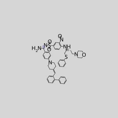 N/C(=N/S(=O)(=O)c1ccc(N[C@H](CCN2CCOCC2)CSc2ccccc2)c(N=O)c1)c1ccc(N2CCC(=Cc3ccccc3-c3ccccc3)CC2)cc1